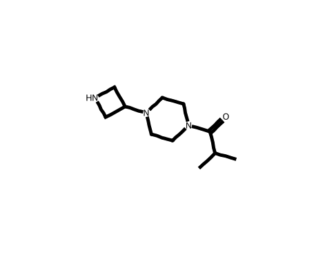 CC(C)C(=O)N1CCN(C2CNC2)CC1